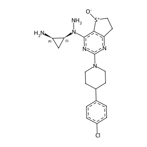 N[C@@H]1C[C@@H]1N(N)c1nc(N2CCC(c3ccc(Cl)cc3)CC2)nc2c1[S+]([O-])CC2